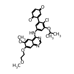 COCCOc1cc2ncnc(Nc3cc(OC(C)C)c(Cl)c(C4=CC(=O)C=CC4=O)c3)c2cc1OC